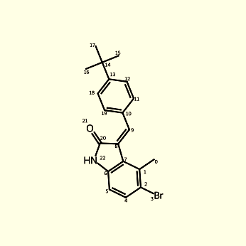 Cc1c(Br)ccc2c1C(=Cc1ccc(C(C)(C)C)cc1)C(=O)N2